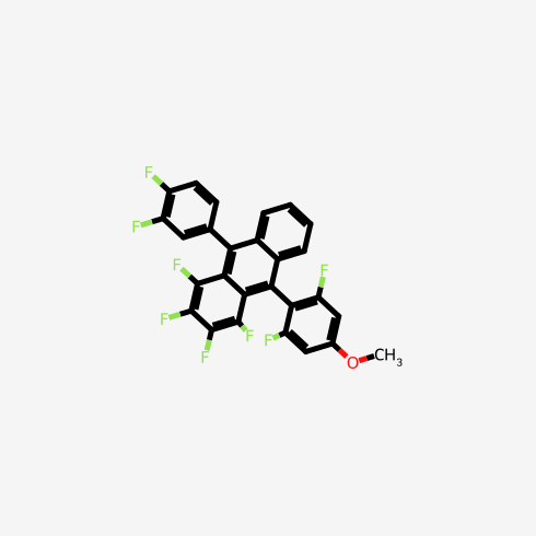 COc1cc(F)c(-c2c3ccccc3c(-c3ccc(F)c(F)c3)c3c(F)c(F)c(F)c(F)c23)c(F)c1